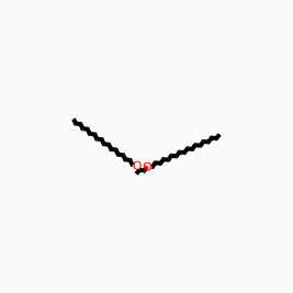 CCCCCCCCCCCCCCCCCCO[CH]C(C)OCCCCCCCCCCCCCCCCCC